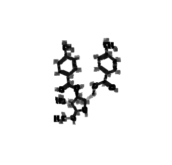 COC1O[C@@H](COC(=O)c2ccc(C)cc2)[C@H](OC(=O)c2ccc(C)cc2)[C@H]1O